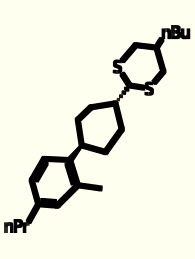 CCCCC1CSC([C@H]2CC[C@H](c3ccc(CCC)cc3C)CC2)SC1